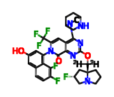 [2H]C([2H])(Oc1nc(N2CC3CCC2CN3)c2cc(C(F)(F)F)n(-c3cc(O)cc4ccc(F)c(F)c34)c(=O)c2n1)[C@@]12CCCN1C[C@H](F)C2